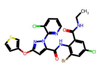 CCNC(=O)c1cc(Cl)cc(Br)c1NC(=O)c1cc(Oc2ccsc2)nn1-c1ncccc1Cl